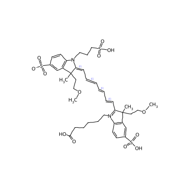 COCCC1(C)C(/C=C/C=C/C=C/C=C2/N(CCCS(=O)(=O)O)c3ccc(S(=O)(=O)[O-])cc3C2(C)CCOC)=[N+](CCCCCC(=O)O)c2ccc(S(=O)(=O)O)cc21